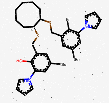 CCc1c(CSC2CCCCCC[C@@H]2SCc2cc(C(C)(C)C)cc(-n3cccc3)c2O)cc(C(C)(C)C)cc1-n1cccc1